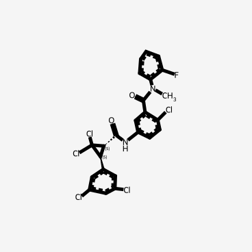 CN(C(=O)c1cc(NC(=O)[C@@H]2[C@@H](c3cc(Cl)cc(Cl)c3)C2(Cl)Cl)ccc1Cl)c1ccccc1F